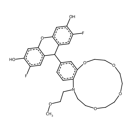 COCCN1CCOCCOCCOCCOc2cc(C3c4cc(F)c(O)cc4Oc4cc(O)c(F)cc43)ccc21